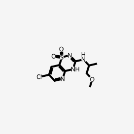 COCC(C)NC1=NS(=O)(=O)c2cc(Cl)cnc2N1